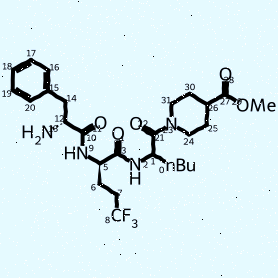 CCCCC(NC(=O)[C@@H](CCC(F)(F)F)NC(=O)[C@H](N)Cc1ccccc1)C(=O)N1CCC(C(=O)OC)CC1